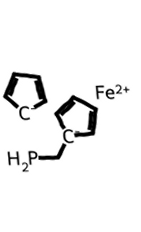 PC[c-]1cccc1.[Fe+2].c1cc[cH-]c1